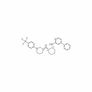 FC(F)(F)c1ccc(N2CCC[C@H](N[C@@H]3CCCC[C@H]3Nc3cc(-c4ccccc4)ccn3)C2)cc1